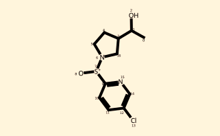 CC(O)C1CCN([S+]([O-])c2ccc(Cl)cn2)C1